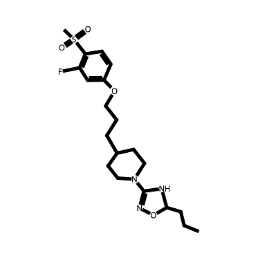 CCCC1NC(N2CCC(CCCOc3ccc(S(C)(=O)=O)c(F)c3)CC2)=NO1